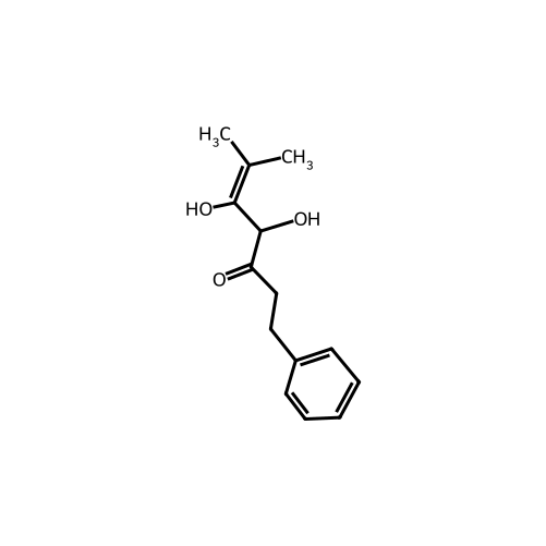 CC(C)=C(O)C(O)C(=O)CCc1ccccc1